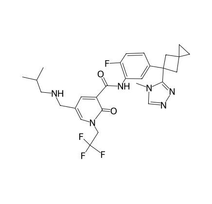 CC(C)CNCc1cc(C(=O)Nc2cc(C3(c4nncn4C)CC4(CC4)C3)ccc2F)c(=O)n(CC(F)(F)F)c1